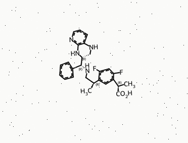 C[C@@H](CN[C@H](c1ccccc1)[C@H]1CNc2cccnc2N1)c1cc([C@@H](C)C(=O)O)c(F)cc1F